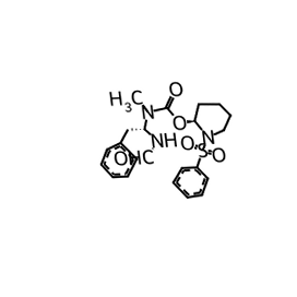 CN(C(=O)O[C@H]1CCCCN1S(=O)(=O)c1ccccc1)[C@@H](Cc1ccccc1)NC=O